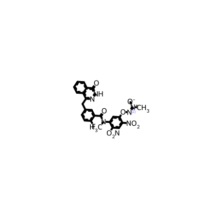 CN(C(=O)c1cc(Cc2n[nH]c(=O)c3ccccc23)ccc1F)c1cc(O/N=[N+](/C)[O-])c([N+](=O)[O-])cc1[N+](=O)[O-]